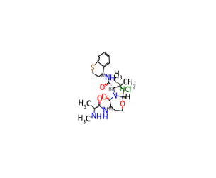 CNC(C)C(=O)N[C@H]1CCO[C@H]2CC(C)(C)[C@@H](C(=O)N[C@@H]3CCSc4ccccc43)N2C1=O.Cl